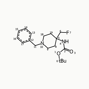 CC(C)(C)OC(=O)NC1(CF)CCN(Cc2ccccc2)CC1